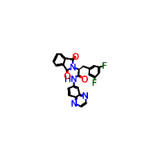 O=C(Nc1ccc2nccnc2c1)[C@H](Cc1cc(F)cc(F)c1)N1C(=O)c2ccccc2C1=O